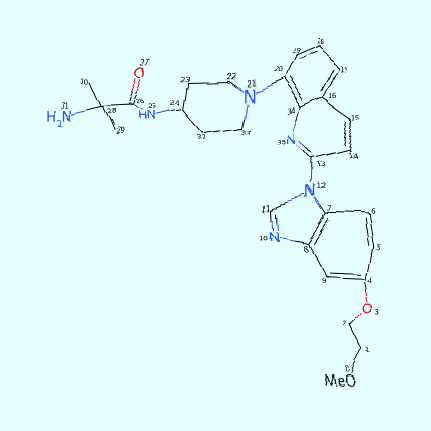 COCCOc1ccc2c(c1)ncn2-c1ccc2cccc(N3CCC(NC(=O)C(C)(C)N)CC3)c2n1